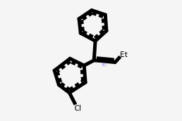 [CH2]C/C=C(\c1ccccc1)c1cccc(Cl)c1